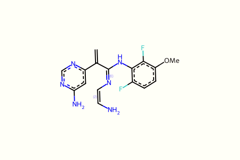 C=C(/C(=N\C=C/N)Nc1c(F)ccc(OC)c1F)c1cc(N)ncn1